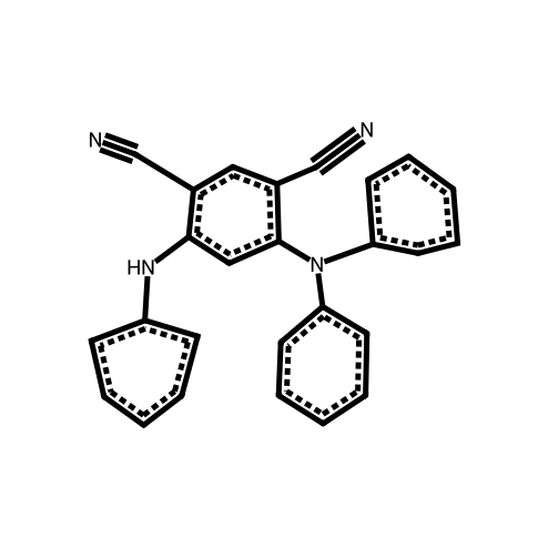 N#Cc1cc(C#N)c(N(c2ccccc2)c2ccccc2)cc1Nc1ccccc1